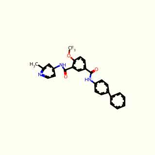 Cc1cc(NC(=O)c2cc(C(=O)Nc3ccc(-c4ccccc4)cc3)ccc2OC(F)(F)F)ccn1